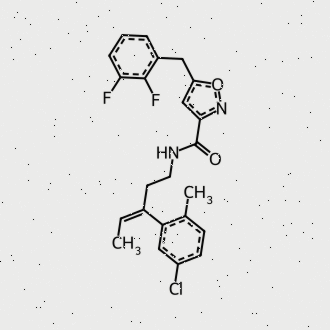 C/C=C(/CCNC(=O)c1cc(Cc2cccc(F)c2F)on1)c1cc(Cl)ccc1C